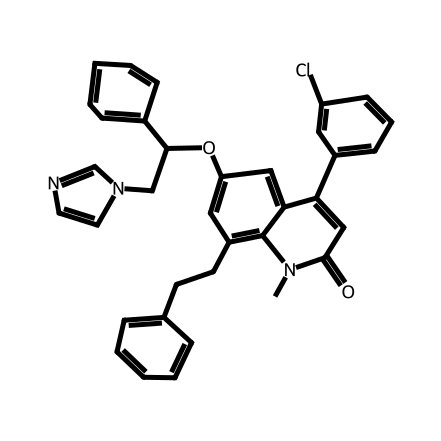 Cn1c(=O)cc(-c2cccc(Cl)c2)c2cc(OC(Cn3ccnc3)c3ccccc3)cc(CCc3ccccc3)c21